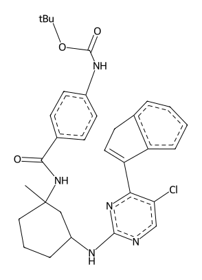 CC1(NC(=O)c2ccc(NC(=O)OC(C)(C)C)cc2)CCCC(Nc2ncc(Cl)c(C3=CCc4ccccc43)n2)C1